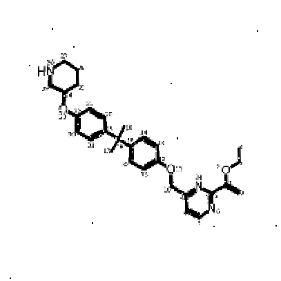 C=C(OCC)c1nccc(COc2ccc(C(C)(C)c3ccc(OC4CCCNC4)cc3)cc2)n1